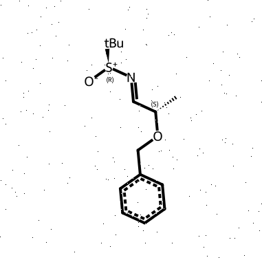 C[C@@H](C=N[S@@+]([O-])C(C)(C)C)OCc1ccccc1